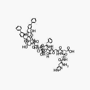 C[C@@H](O)[C@H](NC(=O)CNC(=O)[C@H](CCC(=O)O)NC(=O)C(C)(C)NC(=O)[C@@H](N)Cc1c[nH]cn1)C(=O)N[C@@H](Cc1ccccc1)C(=O)N[C@](Cl)(C(=O)N[C@@H](CO)C(=O)N[C@@H](CC(=O)O)C(=O)N[C@@H](Cc1ccc(-c2ccccc2)cc1)C(=O)N[C@@H](Cc1ccc(-c2ccccc2)cc1)C(=O)O)[C@@H](C)O